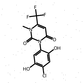 Cn1c(C(F)(F)F)cc(=O)n(-c2cc(O)c(Cl)cc2O)c1=O